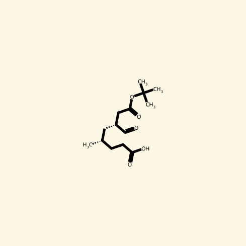 C[C@@H](CCC(=O)O)C[C@@H](C=O)CC(=O)OC(C)(C)C